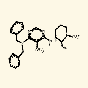 CC(C)(C)C1[C@H](Nc2ncnc(N(Cc3ccccc3)Cc3ccccc3)c2[N+](=O)[O-])CCCN1C(=O)O